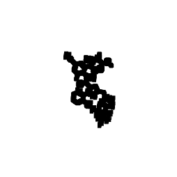 COC(=O)N(C)NC(=O)c1cc(C#N)cc(C)c1NC(=O)c1cc(Cn2nnc(C(F)(C(F)(F)F)C(F)(F)F)n2)nn1-c1ncccc1Cl